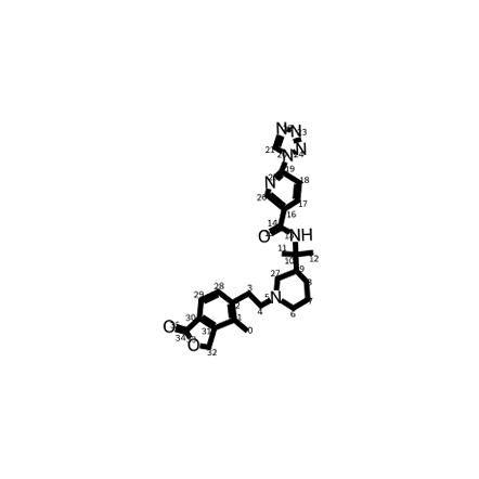 Cc1c(CCN2CCCC(C(C)(C)NC(=O)c3ccc(-n4cnnn4)nc3)C2)ccc2c1COC2=O